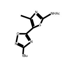 CC(=O)Nc1nc(C)c(-c2nc(C(C)(C)C)no2)s1